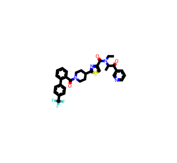 CCN(C(=O)c1csc(C2CCN(C(=O)c3ccccc3-c3ccc(C(F)(F)F)cc3)CC2)n1)C(C)C(=O)c1cccnc1